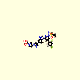 O=C(O)N1CCC(n2cc(-c3ccc4c(c3)ncn4-c3cc(-c4ccc(F)cc4F)cc(NS(=O)(=O)C4CC4)n3)cn2)C1